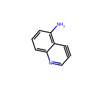 Nc1cccc2ncc#cc12